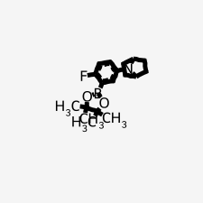 CC1(C)OB(c2cc(N3C4CCC3CC4)ccc2F)OC1(C)C